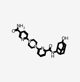 NC(=O)c1ccc(N2CCN(c3cccc(C(=O)NC4C5CC6CC4CC(O)(C6)C5)n3)CC2)nc1